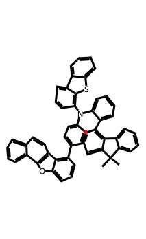 CC1(C)c2ccccc2-c2c(-c3ccccc3N(c3ccc(-c4cccc5oc6c7ccccc7ccc6c45)cc3)c3cccc4c3sc3ccccc34)cccc21